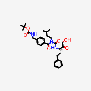 CC(C)CCN(C(=O)N[C@@H](CCc1ccccc1)C(=O)CO)C(=O)c1ccc(CNC(=O)OC(C)(C)C)cc1